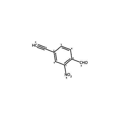 C#Cc1ccc(C=O)c([N+](=O)[O-])c1